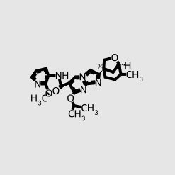 COc1ncccc1NC(=O)c1cn2cc([C@@]34CCC(C)[C@@H](C3)OC4)nc2nc1OC(C)C